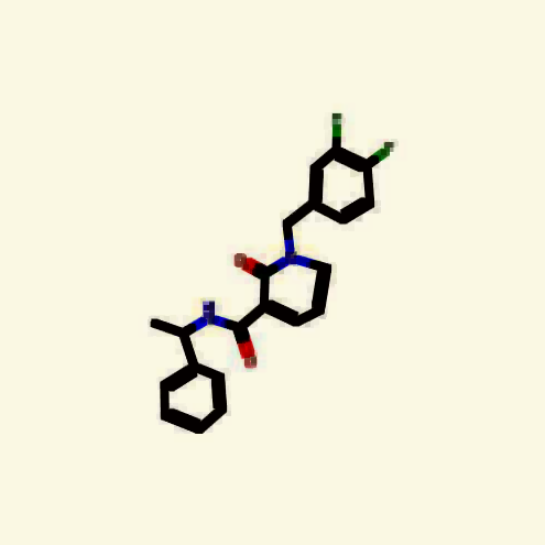 CC(NC(=O)c1cccn(Cc2ccc(F)c(F)c2)c1=O)c1ccccc1